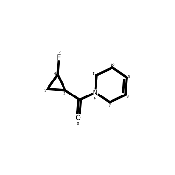 O=C(C1CC1F)N1CC=CCC1